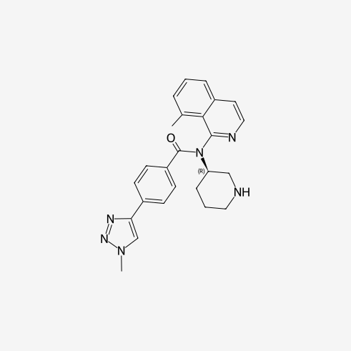 Cc1cccc2ccnc(N(C(=O)c3ccc(-c4cn(C)nn4)cc3)[C@@H]3CCCNC3)c12